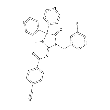 CN1C(=CC(=O)c2ccc(C#N)cc2)N(Cc2cccc(F)c2)C(=O)C1(c1ccncc1)c1ccncc1